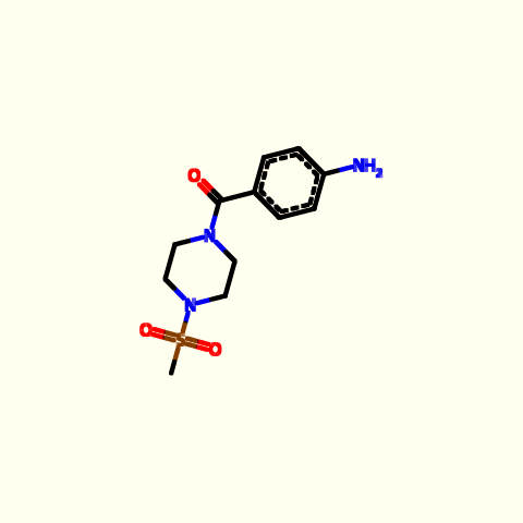 CS(=O)(=O)N1CCN(C(=O)c2ccc(N)cc2)CC1